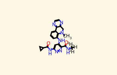 [2H]C([2H])([2H])NC(=O)c1nnc(NC(=O)C2CC2)cc1Nc1cccc2c1N(C)Cc1nccnc1-2